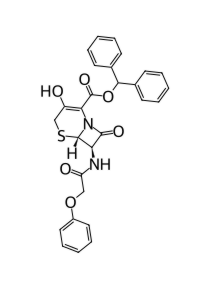 O=C(COc1ccccc1)N[C@@H]1C(=O)N2C(C(=O)OC(c3ccccc3)c3ccccc3)=C(O)CS[C@@H]12